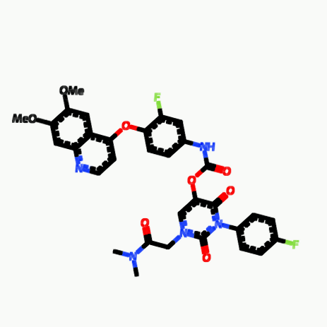 COc1cc2nccc(Oc3ccc(NC(=O)Oc4cn(CC(=O)N(C)C)c(=O)n(-c5ccc(F)cc5)c4=O)cc3F)c2cc1OC